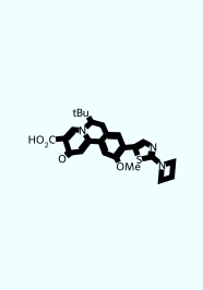 COc1cc2c(cc1-c1cnc(N3CCC3)s1)CC(C(C)(C)C)n1cc(C(=O)O)c(=O)cc1-2